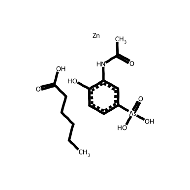 CC(=O)Nc1cc([As](=O)(O)O)ccc1O.CCCCCC(=O)O.[Zn]